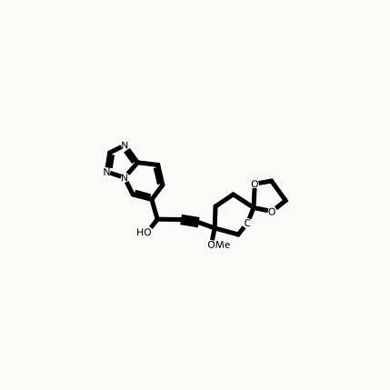 COC1(C#CC(O)c2ccc3ncnn3c2)CCC2(CC1)OCCO2